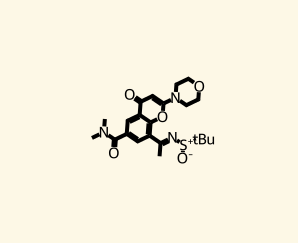 CC(=N[S@+]([O-])C(C)(C)C)c1cc(C(=O)N(C)C)cc2c(=O)cc(N3CCOCC3)oc12